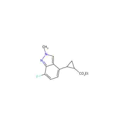 CCOC(=O)C1CC1c1ccc(F)c2nn(C)cc12